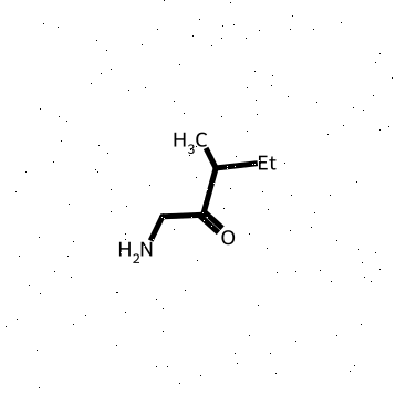 CCC(C)C(=O)CN